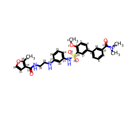 COc1ccc(-c2cccc(C(=O)N(C)C)c2)cc1S(=O)(=O)Nc1cccc(NCCNC(=O)c2ccoc2C)c1